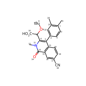 Cc1ccc(-c2c(C(OC(C)(C)C)C(=O)O)n(C)c(=O)c3cc(C#N)ccc23)cc1C